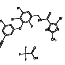 Cc1nc(Br)c(C(=O)NCc2cc(Br)c(Br)c(Oc3cc(Cl)cc(C#N)c3)c2F)[nH]1.O=C(O)C(F)(F)F